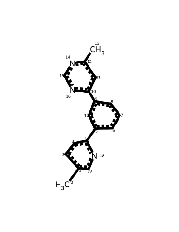 Cc1ccc(-c2cccc(-c3cc(C)ncn3)c2)nc1